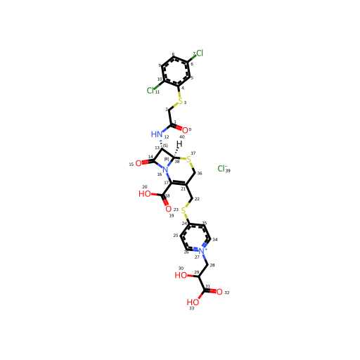 O=C(CSc1cc(Cl)ccc1Cl)N[C@H]1C(=O)N2C(C(=O)O)=C(CSc3cc[n+](CC(O)C(=O)O)cc3)CS[C@H]12.[Cl-]